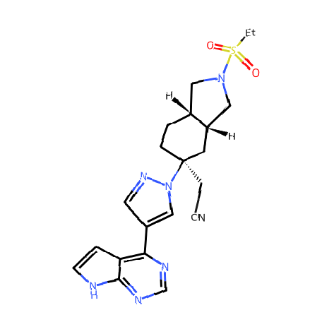 CCS(=O)(=O)N1C[C@H]2CC[C@](CC#N)(n3cc(-c4ncnc5[nH]ccc45)cn3)C[C@H]2C1